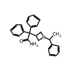 CC(c1ccccc1)N1CC(C(C(N)=O)(c2ccccc2)c2ccccc2)C1